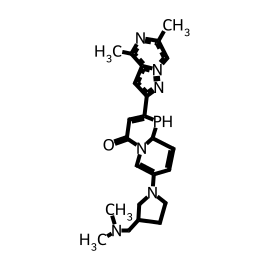 Cc1cn2nc(C3=CC(=O)N4C=C(N5CCC(CN(C)C)C5)C=CC4P3)cc2c(C)n1